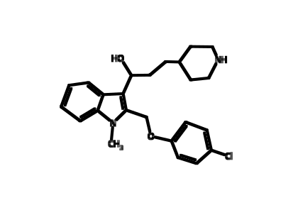 Cn1c(COc2ccc(Cl)cc2)c(C(O)CCC2CCNCC2)c2ccccc21